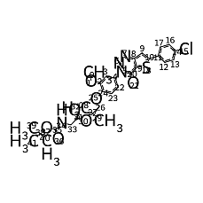 COc1cc(-n2nnc3cc(-c4ccc(Cl)cc4)sc3c2=O)ccc1OCC(C)(C)OC(=O)CNC(=O)OC(C)(C)C